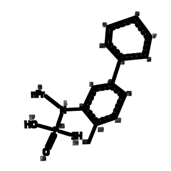 CCCN(c1cc(-c2ccccc2)ccc1C)P(=O)(O)S